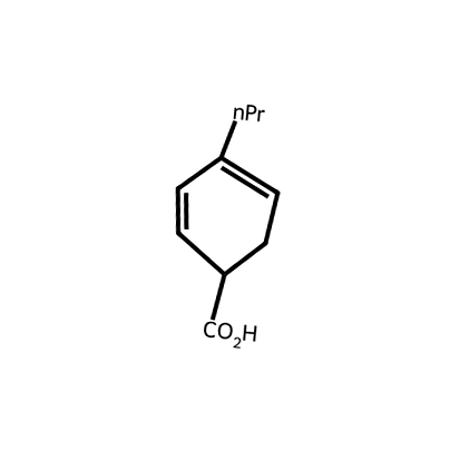 CCCC1=CCC(C(=O)O)C=C1